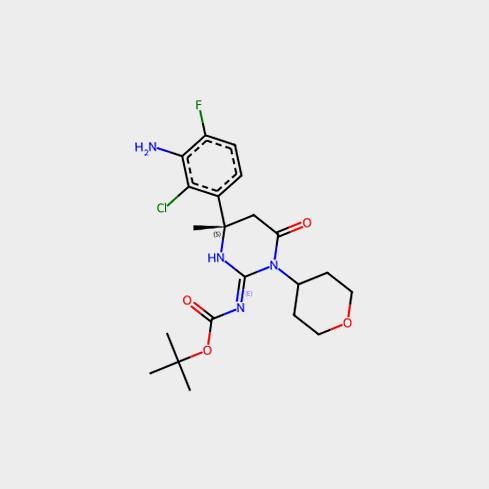 CC(C)(C)OC(=O)/N=C1\N[C@](C)(c2ccc(F)c(N)c2Cl)CC(=O)N1C1CCOCC1